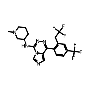 CN1CCC[C@@H](Nc2nnc(-c3ccc(C(F)(F)F)cc3CC(F)(F)F)c3cncn23)C1